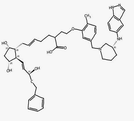 Cc1ccc(CN2CCC[C@@H](Nc3ccc4[nH]ncc4c3)C2)cc1OCCC(CCC=CC[C@@H]1[C@@H](C=C[C@@H](O)CCc2ccccc2)[C@H](O)C[C@@H]1O)C(=O)O